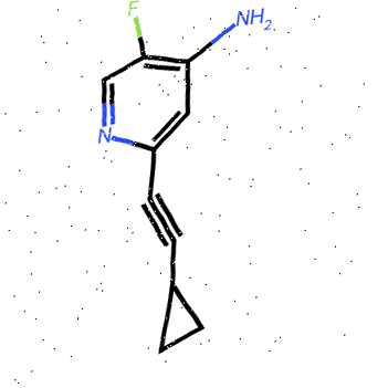 Nc1cc(C#CC2CC2)ncc1F